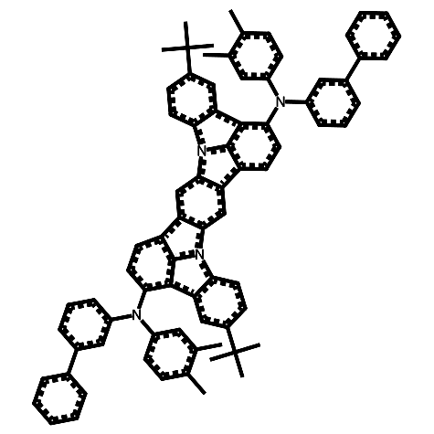 Cc1ccc(N(c2cccc(-c3ccccc3)c2)c2ccc3c4cc5c(cc4n4c6ccc(C(C)(C)C)cc6c2c34)c2ccc(N(c3cccc(-c4ccccc4)c3)c3ccc(C)c(C)c3)c3c4cc(C(C)(C)C)ccc4n5c23)cc1C